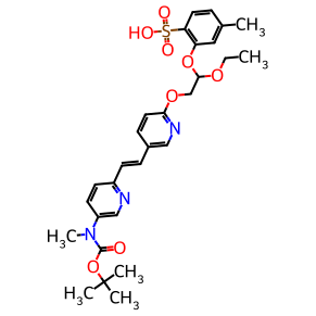 CCOC(COc1ccc(C=Cc2ccc(N(C)C(=O)OC(C)(C)C)cn2)cn1)Oc1cc(C)ccc1S(=O)(=O)O